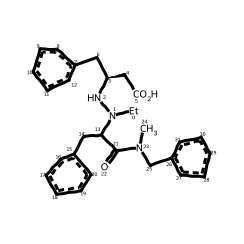 CCN(N[C@H](CC(=O)O)Cc1ccccc1)C(Cc1ccccc1)C(=O)N(C)Cc1ccccc1